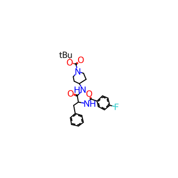 CC(C)(C)OC(=O)N1CCC(NC(=O)C(Cc2ccccc2)NC(=O)c2ccc(F)cc2)CC1